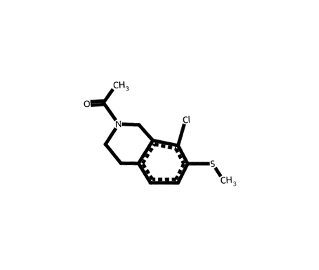 CSc1ccc2c(c1Cl)CN(C(C)=O)CC2